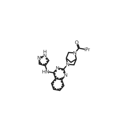 CC(C)C(=O)N1CC2CC1CN2c1nc(Nc2cn[nH]c2)c2ccccc2n1